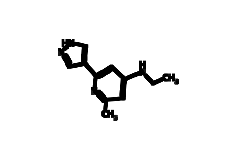 CCNc1cc(C)nc(-c2cn[nH]c2)c1